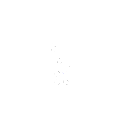 CC(C)(C)OC(=O)NC(Cc1ccc(OCc2ccc(C#N)cc2)cc1)C(=O)NOC(c1ccccc1)(c1ccccc1)c1ccccc1